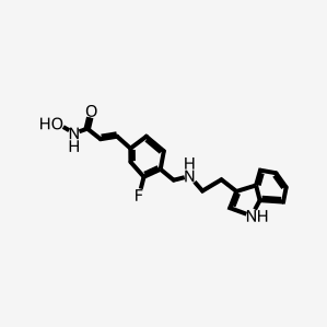 O=C(/C=C/c1ccc(CNCCc2c[nH]c3ccccc23)c(F)c1)NO